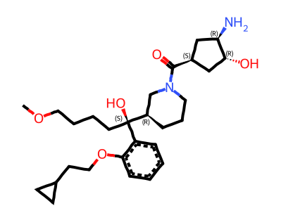 COCCCC[C@@](O)(c1ccccc1OCCC1CC1)[C@@H]1CCCN(C(=O)[C@H]2C[C@@H](N)[C@H](O)C2)C1